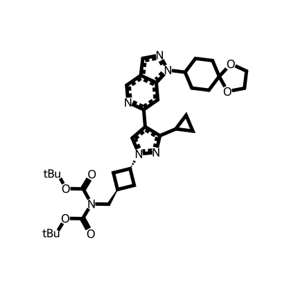 CC(C)(C)OC(=O)N(C[C@H]1C[C@H](n2cc(-c3cc4c(cn3)cnn4C3CCC4(CC3)OCCO4)c(C3CC3)n2)C1)C(=O)OC(C)(C)C